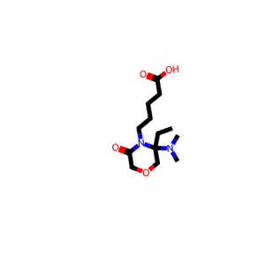 CCC1(N(C)C)COCC(=O)N1CCCCC(=O)O